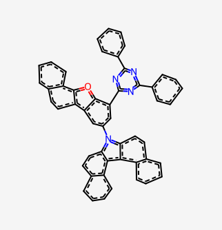 c1ccc(-c2nc(-c3ccccc3)nc(-c3cc(-n4c5ccc6ccccc6c5c5c6ccccc6ccc54)cc4c3oc3c5ccccc5ccc43)n2)cc1